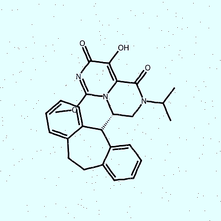 COc1nc(=O)c(O)c2n1[C@@H](C1c3ccccc3CCc3ccccc31)CN(C(C)C)C2=O